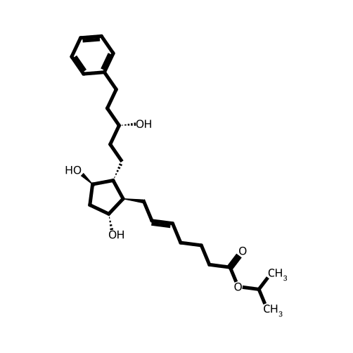 CC(C)OC(=O)CCCC=CC[C@@H]1[C@@H](CC[C@@H](O)CCc2ccccc2)[C@H](O)C[C@H]1O